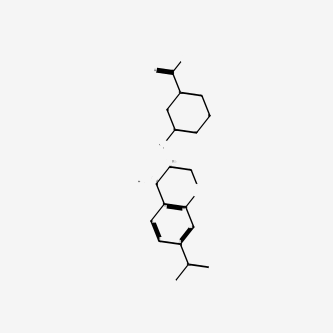 CC(C)c1ccc2c(c1)OC[C@@H](NC1CCCC(C(=O)O)C1)[C@H]2O